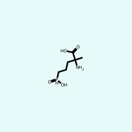 CC(N)(CCC[PH](=O)O)C(=O)O